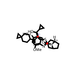 COc1cc(C(=O)O)cc2sc(N3C4CC[C@H]3CC(OC/C(C(=N)C3CCC5(CC3)CC5)=C(/O)C3CC3)C4)nc12